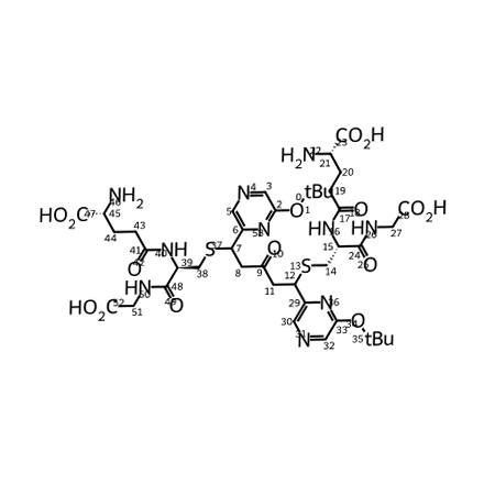 CC(C)(C)Oc1cncc(C(CC(=O)CC(SC[C@H](NC(=O)CC[C@H](N)C(=O)O)C(=O)NCC(=O)O)c2cncc(OC(C)(C)C)n2)SC[C@H](NC(=O)CC[C@@H](N)C(=O)O)C(=O)NCC(=O)O)n1